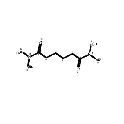 CCCCN(CCCC)C(=O)CCCCC(=O)N(CCCC)CCCC